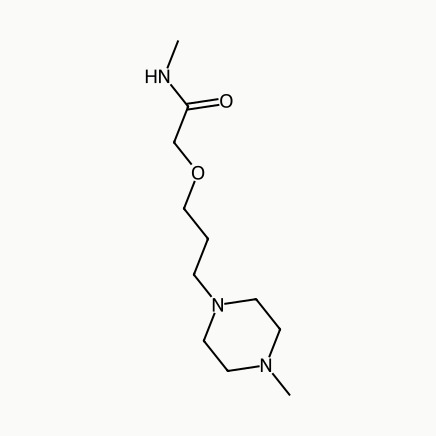 CNC(=O)COCCCN1CCN(C)CC1